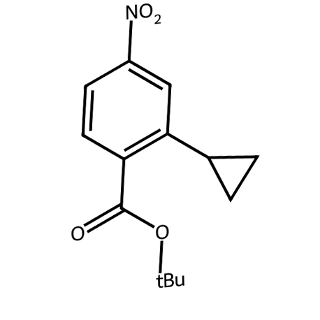 CC(C)(C)OC(=O)c1ccc([N+](=O)[O-])cc1C1CC1